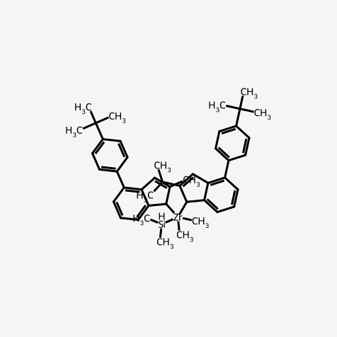 CC1=Cc2c(-c3ccc(C(C)(C)C)cc3)cccc2[CH]1[Zr]([CH3])([CH3])([CH]1C(C(C)C)=Cc2c(-c3ccc(C(C)(C)C)cc3)cccc21)[SiH](C)C